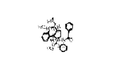 CNC[C@@H]1Nc2ccccc2[C@H]2[C@@H]1CCN2C(=O)[C@H]1CCCC[C@H]1NC(=O)c1ccccc1.Cl.Cl